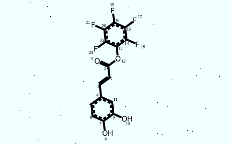 O=C(/C=C/c1ccc(O)c(O)c1)Oc1c(F)c(F)c(F)c(F)c1F